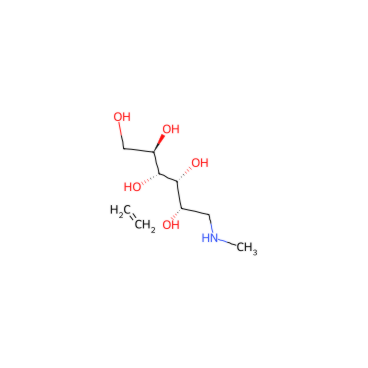 C=C.CNC[C@H](O)[C@@H](O)[C@H](O)[C@H](O)CO